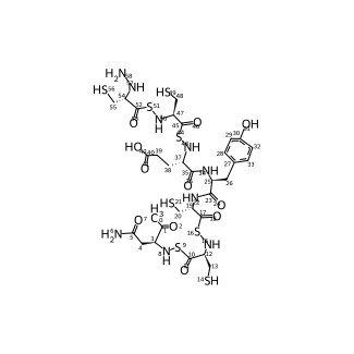 CC(=O)[C@H](CC(N)=O)NSC(=O)[C@H](CS)NSC(=O)[C@H](CS)NC(=O)[C@H](Cc1ccc(O)cc1)NC(=O)[C@H](CCC(=O)O)NSC(=O)[C@H](CS)NSC(=O)[C@H](CS)NN